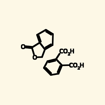 O=C(O)c1ccccc1C(=O)O.O=C1OCc2ccccc21